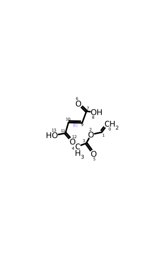 C=COC(C)=O.O=C(O)/C=C/C(=O)O